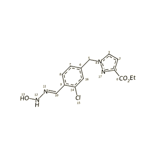 CCOC(=O)c1ccn(Cc2ccc(C=NNO)c(Cl)c2)n1